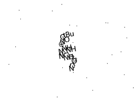 CC(C)(C)OC(=O)N1CC2CC(Nc3ncnc(N)c3C(=N)c3ccc(Oc4ccncc4)cc3)C1C2